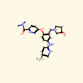 CN(C)C(=O)c1ccc(Oc2ccc(Nc3ccc(C(F)(F)F)cn3)cc2CN2CCC(=O)C2)cn1